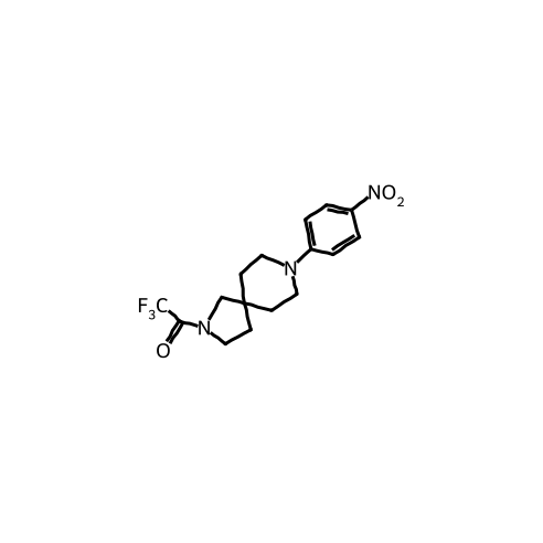 O=C(N1CCC2(CCN(c3ccc([N+](=O)[O-])cc3)CC2)C1)C(F)(F)F